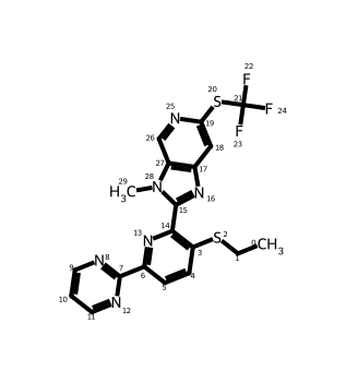 CCSc1ccc(-c2ncccn2)nc1-c1nc2cc(SC(F)(F)F)ncc2n1C